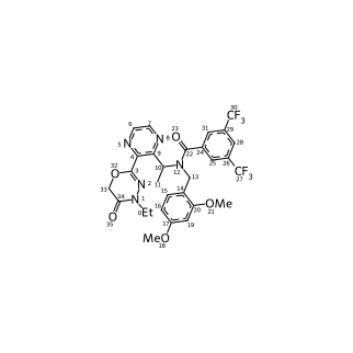 CCN1N=C(c2nccnc2C(C)N(Cc2ccc(OC)cc2OC)C(=O)c2cc(C(F)(F)F)cc(C(F)(F)F)c2)OCC1=O